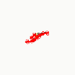 C=CC(=O)OCCCCCOC1CCC(C2CCC(C(=O)Oc3ccc(OC(=O)C4CCC(C5CCC(OCCCCCOC(=O)C=C)CC5)CC4)c4c3SC(=C(C#N)C(=O)OCCCCOC(=O)C=C)S4)CC2)CC1